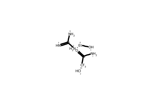 CCO.Cl.N=C(N)N.NC(=O)C(F)(F)F